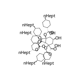 CCCCCCC[C@H]1CC[C@H](C(=O)O[C@@]2(C(=O)[C@H]3CC[C@H](CCCCCCC)CC3)[C@@](OC(=O)[C@H]3CC[C@H](CCCCCCC)CC3)(C(=O)[C@H]3CC[C@H](CCCCCCC)CC3)[C@@H](O)[C@H](O)[C@@H](O)[C@@]2(OC(=O)[C@H]2CC[C@H](CCCCCCC)CC2)C(=O)[C@H]2CC[C@H](CCCCCCC)CC2)CC1